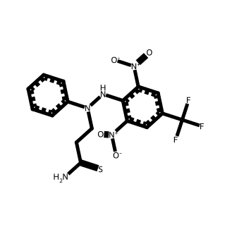 NC(=S)CCN(Nc1c([N+](=O)[O-])cc(C(F)(F)F)cc1[N+](=O)[O-])c1ccccc1